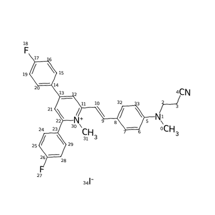 CN(CCC#N)c1ccc(/C=C/c2cc(-c3ccc(F)cc3)cc(-c3ccc(F)cc3)[n+]2C)cc1.[I-]